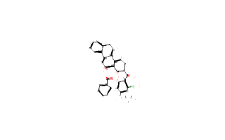 COc1ccc(C(=O)C2CC=c3c(ccc4c3=CCc3ccccc3-4)C2OC(=O)c2ccccc2)c(Cl)c1